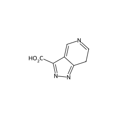 O=C(O)C1=NN=C2CC=NC=C21